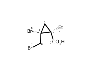 CC[C@@]1(C(=O)O)C[C@]1(Br)CBr